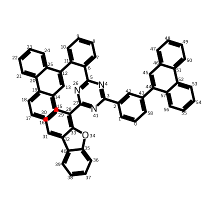 c1cc(-c2nc(-c3ccccc3-c3cc4ccccc4c4ccccc34)nc(-c3cccc4c3oc3ccccc34)n2)cc(-c2cc3ccccc3c3ccccc23)c1